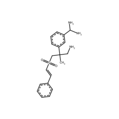 CC([CH]N)(CS(=O)(=O)C=Cc1ccccc1)c1cccc(C(N)N)c1